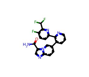 NC(=O)c1cnc2ccc(-c3cccnc3-c3ccc(F)c(C(F)F)n3)cn12